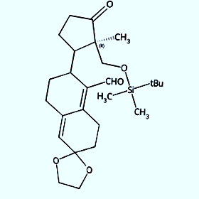 CC(C)(C)[Si](C)(C)OC[C@]1(C)C(=O)CCC1C1CCC2=CC3(CCC2=C1C=O)OCCO3